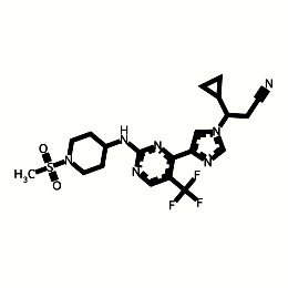 CS(=O)(=O)N1CCC(Nc2ncc(C(F)(F)F)c(-c3cn(C(CC#N)C4CC4)cn3)n2)CC1